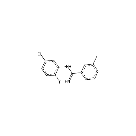 Cc1cccc(C(=N)Nc2cc(Cl)ccc2F)c1